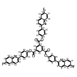 O=C(Oc1ccc(-c2ccc3cc(F)ccc3n2)cc1)c1cc(C(=O)Oc2ccc(-c3ccc4cc(F)ccc4n3)cc2)cc(C(=O)Oc2ccc(-c3ccc4cc(F)ccc4n3)cc2)c1